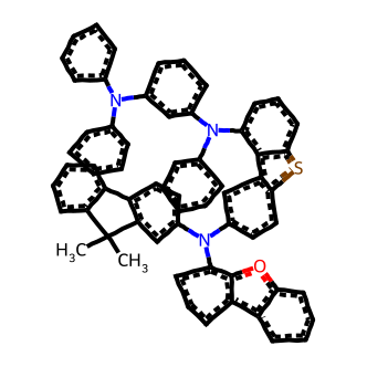 CC1(C)c2ccccc2-c2ccc(N(c3ccc4sc5cccc(N(c6ccccc6)c6cccc(N(c7ccccc7)c7ccccc7)c6)c5c4c3)c3cccc4c3oc3ccccc34)cc21